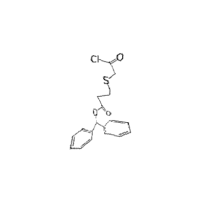 O=C(Cl)CSCCC(=O)OC(c1ccccc1)c1ccccc1